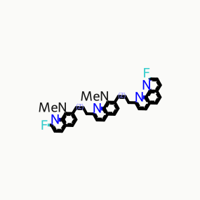 CNc1c(/C=C\Cc2ccc3ccc(/C=C\Cc4ccc5ccc6ccc(F)nc6c5n4)c(NC)c3n2)ccc2ccc(F)nc12